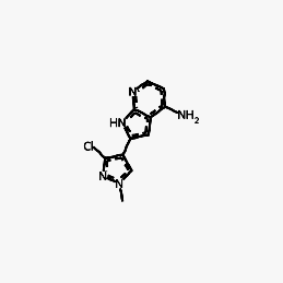 Cn1cc(-c2cc3c(N)ccnc3[nH]2)c(Cl)n1